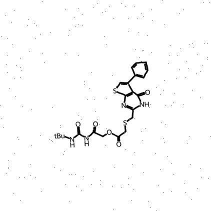 CC(C)(C)NC(=O)NC(=O)COC(=O)CSCc1nc2scc(-c3ccccc3)c2c(=O)[nH]1